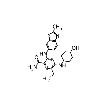 CCc1nc(C(N)=O)c(Nc2ccc3nc(C)sc3c2)nc1N[C@H]1CC[C@H](O)CC1